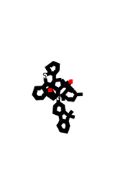 CC1C=CC2(C)C3=C1C(C)C1=C(C3C)C3(c4ccccc4Sc4c3cc(c3ccccc43)N2c2ccc3c(c2)C(C)(C)c2ccccc2-3)c2ccccc21